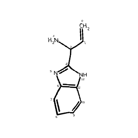 C=CC(N)c1nc2[c]cccc2[nH]1